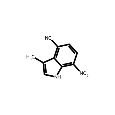 Cc1c[nH]c2c([N+](=O)[O-])ccc(C#N)c12